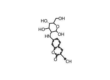 C#Cc1cc2ccc(NC3C(O)OC(CO)[C@@H](O)C3O)cc2oc1=O